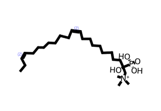 CC/C=C\CCCCCCC/C=C\CCCCCCCCC(O)(C[N+](C)(C)C)P(=O)(O)O